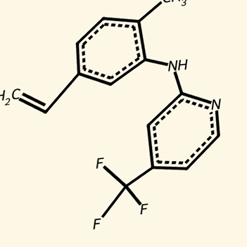 C=Cc1ccc(C)c(Nc2cc(C(F)(F)F)ccn2)c1